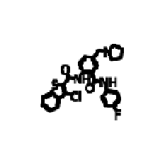 O=C(Nc1ccc(F)cc1)c1cc(CN2CCCC2)ccc1NC(=O)c1sc2ccccc2c1Cl